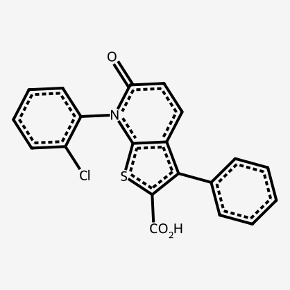 O=C(O)c1sc2c(ccc(=O)n2-c2ccccc2Cl)c1-c1ccccc1